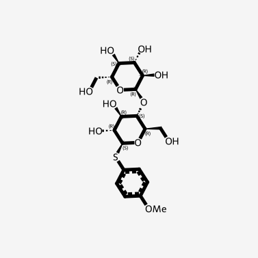 COc1ccc(S[C@@H]2O[C@H](CO)[C@@H](O[C@H]3O[C@H](CO)[C@@H](O)[C@H](O)[C@H]3O)[C@H](O)[C@H]2O)cc1